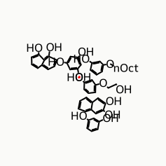 CCCCCCCCOc1cccc(O)c1.OCCOc1cccc(O)c1.Oc1cc(O)cc(O)c1.Oc1cc2ccccc2cc1O.Oc1cccc(O)c1.Oc1cccc2cccc(O)c12